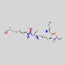 CCC(=O)NC(CCCCNC(=O)NC(=O)NCCSSCCNC(C)=O)C(=O)NCCO